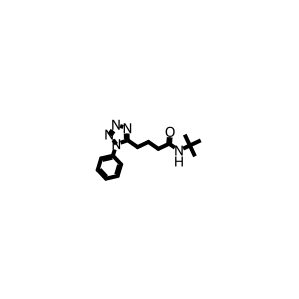 CC(C)(C)NC(=O)CCCc1nnnn1-c1ccccc1